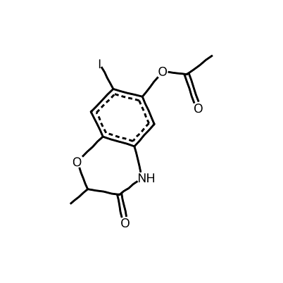 CC(=O)Oc1cc2c(cc1I)OC(C)C(=O)N2